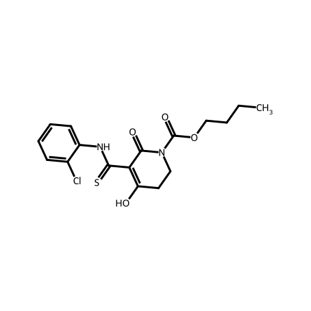 CCCCOC(=O)N1CCC(O)=C(C(=S)Nc2ccccc2Cl)C1=O